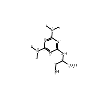 CN(C)c1nc(NC(CS)C(=O)O)nc(N(C)C)n1